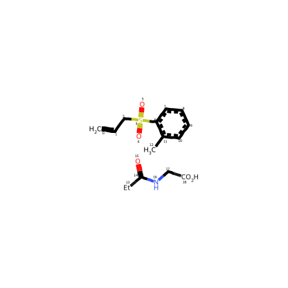 C=CCS(=O)(=O)c1ccccc1C.CCC(=O)NCC(=O)O